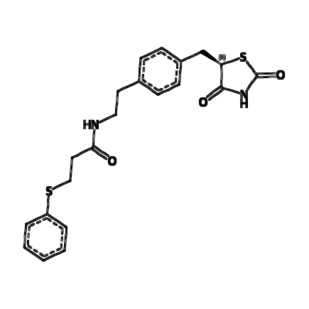 O=C(CCSc1ccccc1)NCCc1ccc(C[C@H]2SC(=O)NC2=O)cc1